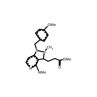 CNc1nccc2c1C(CCC(=O)OC)N(C)N2Cc1ccc(OC)cc1